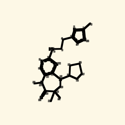 Cc1nc(CCNc2ncc3c(n2)N(C2CCCC2)CC(C)(C)C(=O)N3C)cs1